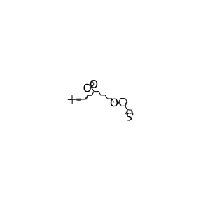 COC(=O)/C(=C/CCCCOc1cccc(-c2ccsc2)c1)C/C=C/C#CC(C)(C)C